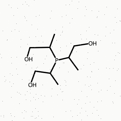 CC(CO)P(C(C)CO)C(C)CO